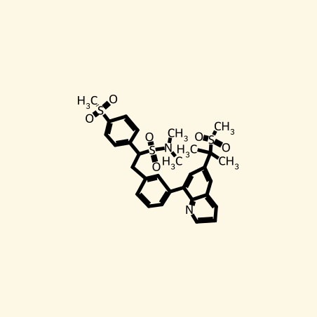 CN(C)S(=O)(=O)C(Cc1cccc(-c2cc(C(C)(C)S(C)(=O)=O)cc3cccnc23)c1)c1ccc(S(C)(=O)=O)cc1